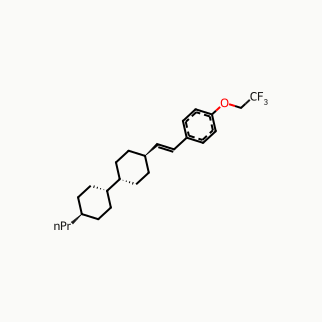 CCC[C@H]1CC[C@H]([C@H]2CC[C@H](C=Cc3ccc(OCC(F)(F)F)cc3)CC2)CC1